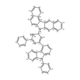 c1ccc(C2=NC(c3cccc4c3c3ccccc3n4-c3ccccc3)=NC(n3c4cc5ccccc5cc4c4c5ccccc5ccc43)N2)cc1